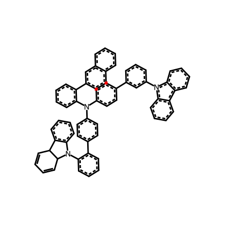 C1=CC2c3ccccc3N(c3ccccc3-c3ccc(N(c4ccc(-c5cccc(-n6c7ccccc7c7ccccc76)c5)cc4)c4ccccc4-c4ccc5ccccc5c4)cc3)C2C=C1